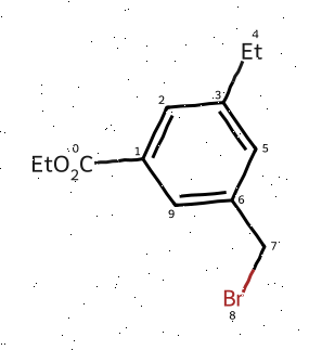 CCOC(=O)c1cc(CC)cc(CBr)c1